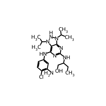 CCC(CO)Nc1nc(Nc2ccc(Cl)c(N)c2)c2c(n1)N(C(C)C)NN2C(C)C